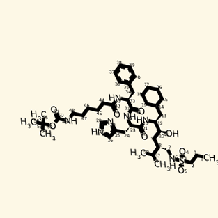 CCCS(=O)(=O)NC[C@@H](C[C@H](O)[C@H](CC1CCCCC1)NC(=O)[C@H](Cc1c[nH]cn1)NC(=O)[C@H](Cc1ccccc1)NC(=O)CCCCCNC(=O)OC(C)(C)C)C(C)C